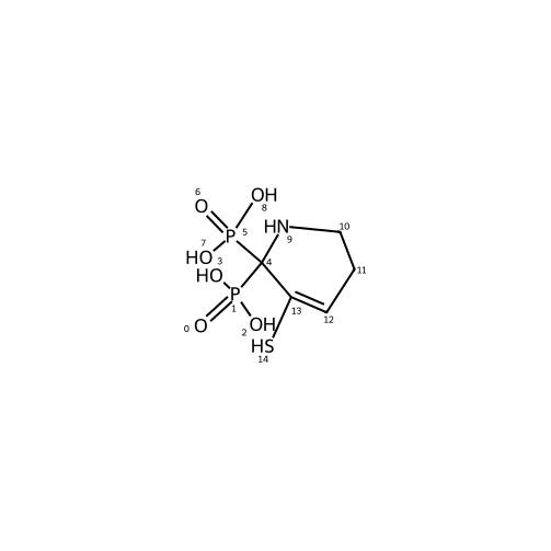 O=P(O)(O)C1(P(=O)(O)O)NCCC=C1S